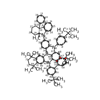 CC(C)(C)c1ccc(N2c3cc(N4c5ccccc5C5(c6ccccc6)CCCCC45C)ccc3B3c4cc5c(cc4N(c4ccc(C(C)(C)C)cc4-c4ccccc4)c4cc(C(C)(C)C)cc2c43)C(C)(C)CCC5(C)C)cc1